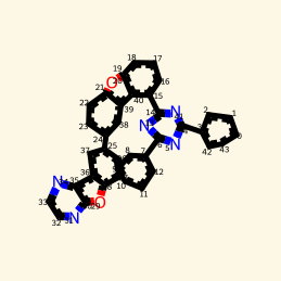 c1ccc(-c2nc(-c3ccccc3)nc(-c3cccc4oc5ccc(-c6ccc7oc8nccnc8c7c6)cc5c34)n2)cc1